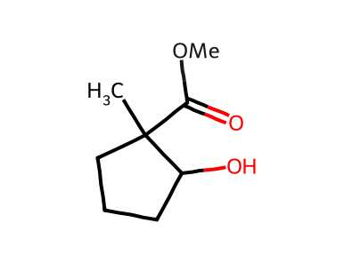 COC(=O)C1(C)CCCC1O